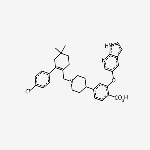 CC1(C)CCC(CN2CCC(c3ccc(C(=O)O)c(Oc4cnc5[nH]ccc5c4)c3)CC2)=C(c2ccc(Cl)cc2)C1